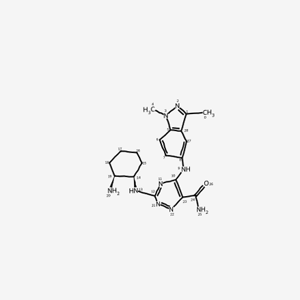 Cc1nn(C)c2ccc(Nc3nc(N[C@@H]4CCCC[C@@H]4N)nnc3C(N)=O)cc12